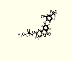 COC(=O)COC(=O)N=C(OC)c1cc(Oc2ccc(C(F)(F)F)cc2Cl)ccc1[N+](=O)[O-]